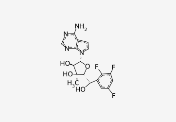 C[C@@]1(O)[C@@H](C(O)c2cc(F)cc(F)c2F)O[C@@H](n2ccc3c(N)ncnc32)[C@@H]1O